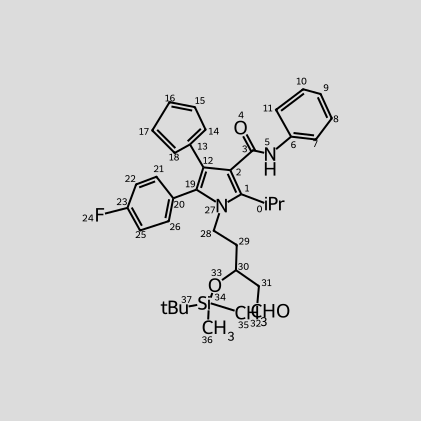 CC(C)c1c(C(=O)Nc2ccccc2)c(-c2ccccc2)c(-c2ccc(F)cc2)n1CCC(CC=O)O[Si](C)(C)C(C)(C)C